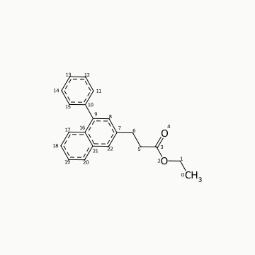 CCOC(=O)CCc1cc(-c2ccccc2)c2ccccc2c1